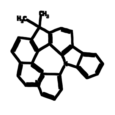 CC1(C)c2ccc3ccccc3c2-c2c1ccc1c3ccccc3n(-c3cccnc3)c21